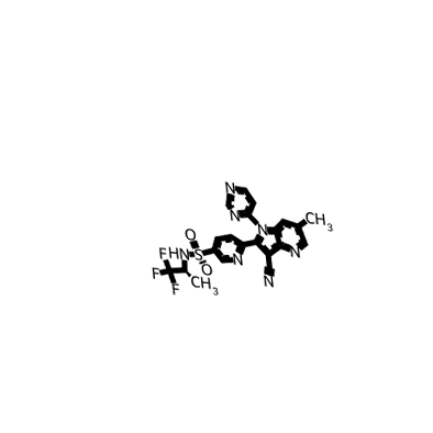 Cc1cnc2c(C#N)c(-c3ccc(S(=O)(=O)N[C@@H](C)C(F)(F)F)cn3)n(-c3ccncn3)c2c1